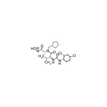 CC(C)[C@H](NC(=O)Nc1ccc(Cl)cc1Cl)C(=O)N(CC(=O)NO)CC1CCCC1